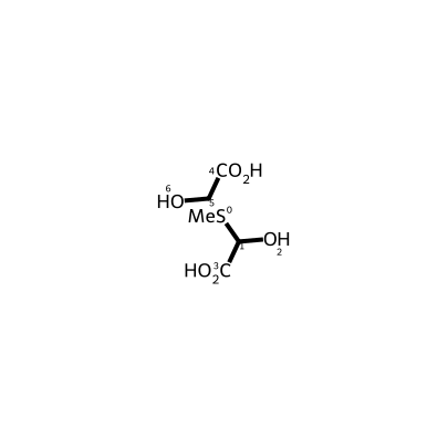 CSC(O)C(=O)O.O=C(O)CO